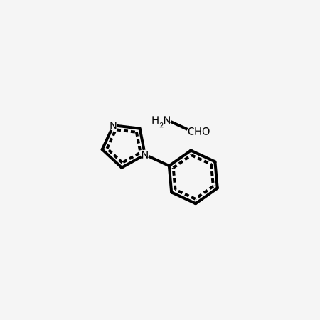 NC=O.c1ccc(-n2ccnc2)cc1